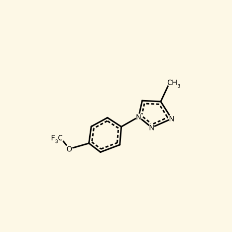 Cc1cn(-c2ccc(OC(F)(F)F)cc2)nn1